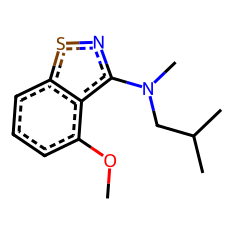 COc1cccc2snc(N(C)CC(C)C)c12